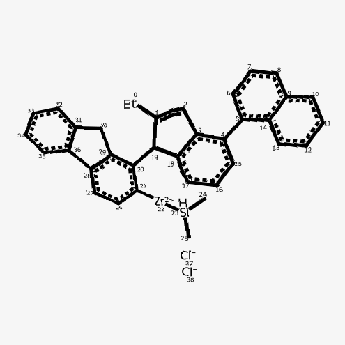 CCC1=Cc2c(-c3cccc4ccccc34)cccc2C1c1[c]([Zr+2][SiH](C)C)ccc2c1Cc1ccccc1-2.[Cl-].[Cl-]